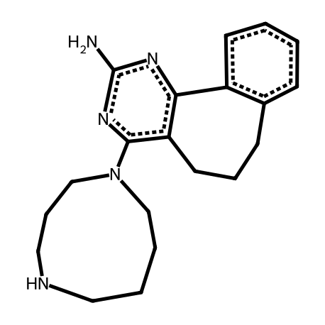 Nc1nc2c(c(N3CCCCNCCC3)n1)CCCc1ccccc1-2